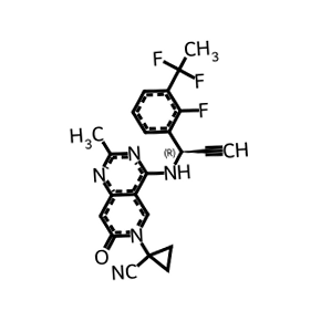 C#C[C@@H](Nc1nc(C)nc2cc(=O)n(C3(C#N)CC3)cc12)c1cccc(C(C)(F)F)c1F